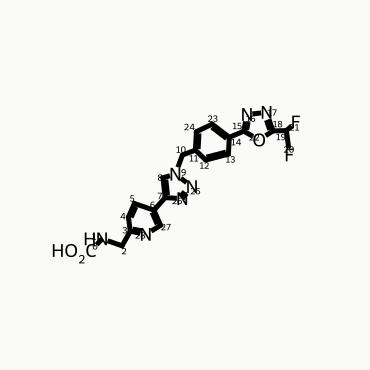 O=C(O)NCc1ccc(-c2cn(Cc3ccc(-c4nnc(C(F)F)o4)cc3)nn2)cn1